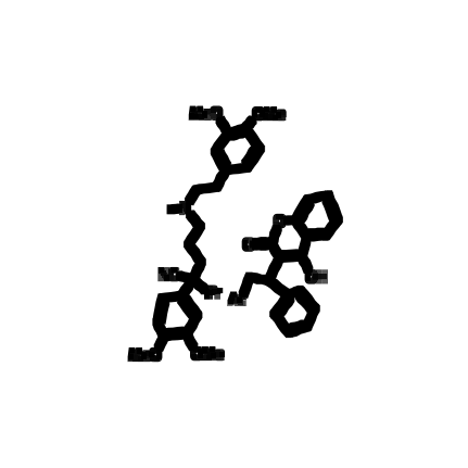 CC(=O)CC(c1ccccc1)c1c(O)c2ccccc2oc1=O.COc1ccc(CCN(C)CCCC(C#N)(c2ccc(OC)c(OC)c2)C(C)C)cc1OC